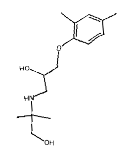 Cc1ccc(OCC(O)CNC(C)(C)CO)c(C)c1